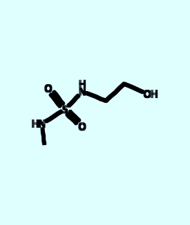 CNS(=O)(=O)NCCO